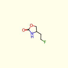 O=C1NC(CCF)CO1